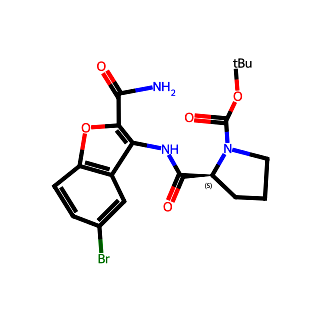 CC(C)(C)OC(=O)N1CCC[C@H]1C(=O)Nc1c(C(N)=O)oc2ccc(Br)cc12